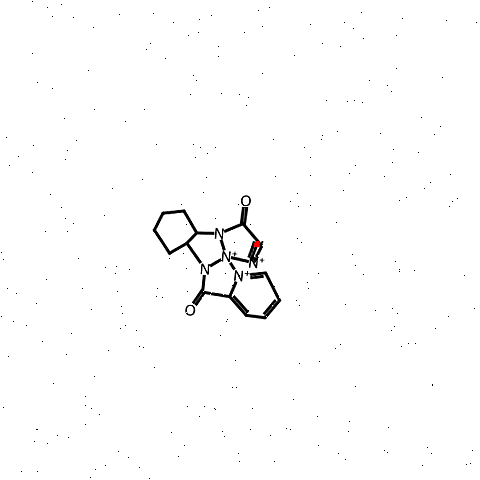 O=C1c2cccc[n+]2[N+]23N1C1CCCCC1N2C(=O)c1cccc[n+]13